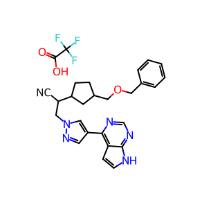 N#CC(Cn1cc(-c2ncnc3[nH]ccc23)cn1)C1CCC(COCc2ccccc2)C1.O=C(O)C(F)(F)F